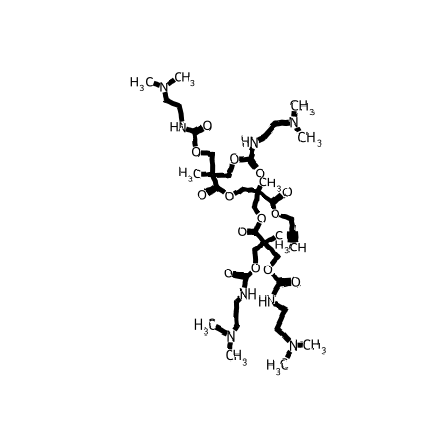 C#CCOC(=O)C(C)(COC(=O)C(C)(COC(=O)NCCN(C)C)COC(=O)NCCN(C)C)COC(=O)C(C)(COC(=O)NCCN(C)C)COC(=O)NCCN(C)C